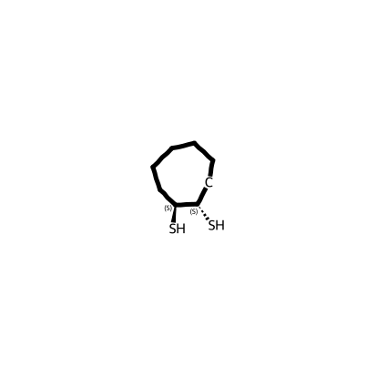 S[C@H]1CCCCCC[C@@H]1S